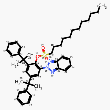 CCCCCCCCCCCCS(=O)(=O)Oc1c(-n2nc3ccccc3n2)cc(C(C)(C)c2ccccc2)cc1C(C)(C)c1ccccc1